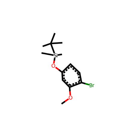 COc1cc(O[Si](C)(C)C(C)(C)C)ccc1Br